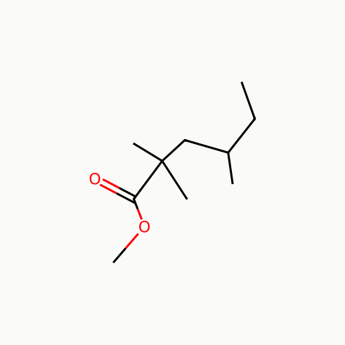 CCC(C)CC(C)(C)C(=O)OC